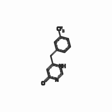 O=c1cc(Cc2cccc(C(F)(F)F)c2)[nH]cn1